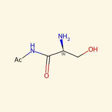 CC(=O)NC(=O)[C@@H](N)CO